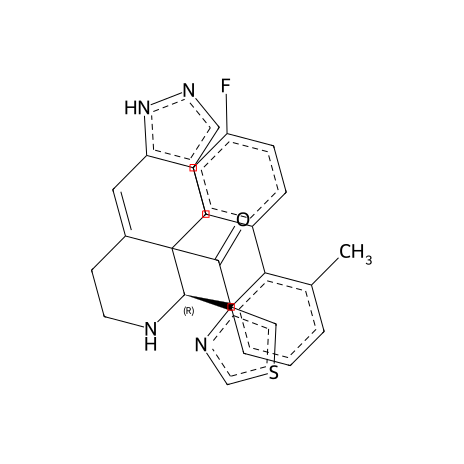 Cc1cccc([C@H]2NCCC3=Cc4[nH]ncc4CC32C(=O)c2cscn2)c1-c1ccc(F)cc1